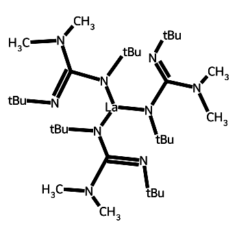 CN(C)C(=NC(C)(C)C)[N]([La]([N](C(=NC(C)(C)C)N(C)C)C(C)(C)C)[N](C(=NC(C)(C)C)N(C)C)C(C)(C)C)C(C)(C)C